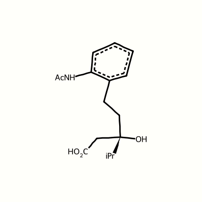 CC(=O)Nc1ccccc1CC[C@](O)(CC(=O)O)C(C)C